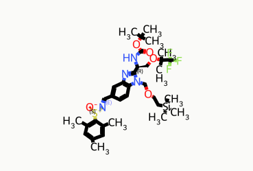 Cc1cc(C)c([S@@+]([O-])/N=C/c2ccc3c(c2)nc([C@H](COC(C)(C)C(F)(F)F)NC(=O)OC(C)(C)C)n3COCC[Si](C)(C)C)c(C)c1